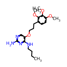 CCCCNc1nc(N)ncc1OCCCc1ccc(OC)c(OC)c1OC